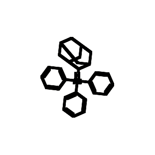 c1ccc([AsH](c2ccccc2)(c2ccccc2)C2C3CC4CC(C3)CC2C4)cc1